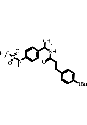 CC(NC(=O)CCc1ccc(C(C)(C)C)cc1)c1ccc(NS(C)(=O)=O)cc1